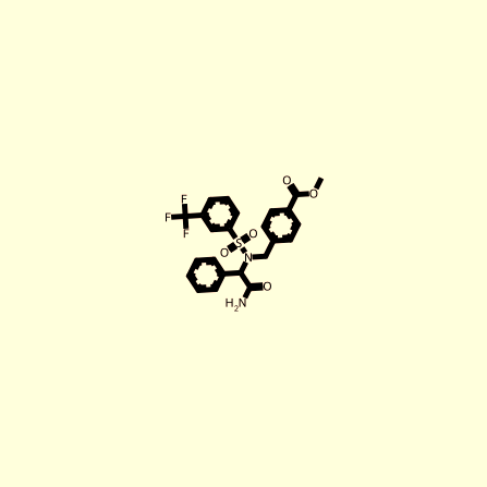 COC(=O)c1ccc(CN(C(C(N)=O)c2ccccc2)S(=O)(=O)c2cccc(C(F)(F)F)c2)cc1